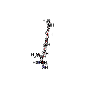 C/C(=N\O)C(C)(C)NCC(CNC(C)(C)/C(C)=N/O)NC(=O)CCCC(=O)C[C@@H](CCCCNC(=O)COCCOCCOCC(=O)NCCCOCCOCCOCCCNC(=O)COCCOCCOCC(=O)NCCCC[C@H](C)C(N)=O)C(=O)NCCCC[C@H](C)C(N)=O